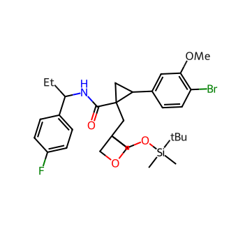 CCC(NC(=O)C1(CC2(CO[Si](C)(C)C(C)(C)C)COC2)CC1c1ccc(Br)c(OC)c1)c1ccc(F)cc1